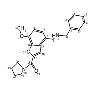 COc1ccc(CNCc2ccccc2)c2cc(C(=O)N3CCCC3)oc12